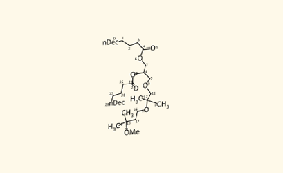 CCCCCCCCCCCCCC(=O)OCC(COCC(C)(C)OCCC(C)(C)OC)OC(=O)CCCCCCCCCCCCC